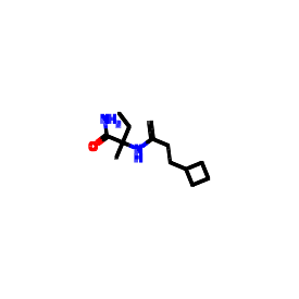 C=C(CCC1CCC1)NC(C)(CC)C(N)=O